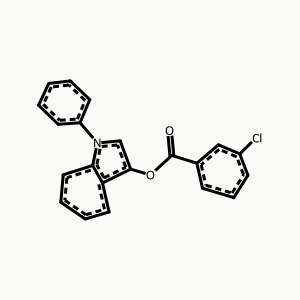 O=C(Oc1cn(-c2ccccc2)c2ccccc12)c1cccc(Cl)c1